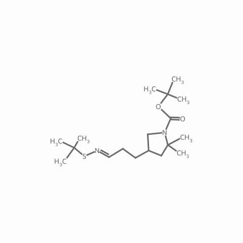 CC(C)(C)OC(=O)N1CC(CCC=NSC(C)(C)C)CC1(C)C